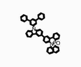 O=P1(c2ccccc2)c2ccccc2-c2cc(-c3ccc4c(c3)c3ccccc3n4-c3cc(-c4ccccc4)cc(-c4ccccc4)c3)ccc2N1c1ccccc1